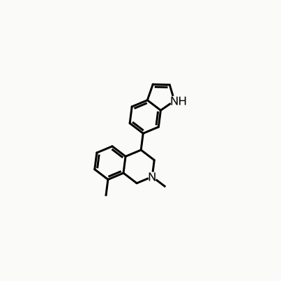 Cc1cccc2c1CN(C)CC2c1ccc2cc[nH]c2c1